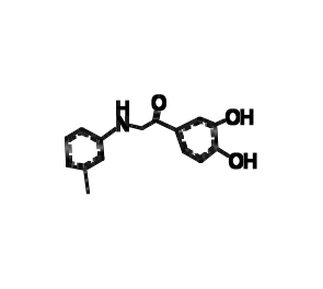 Cc1cccc(NCC(=O)c2ccc(O)c(O)c2)c1